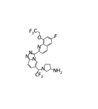 NC1CCN([C@H](c2ccc3nnc(-c4ccc5cc(F)cc(OCC(F)(F)F)c5n4)n3c2)C(F)(F)F)C1